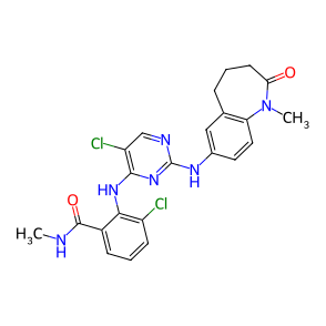 CNC(=O)c1cccc(Cl)c1Nc1nc(Nc2ccc3c(c2)CCCC(=O)N3C)ncc1Cl